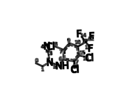 CCN(C#N)Nc1c(Cl)cc(C(F)(F)F)c(Cl)c1Cl